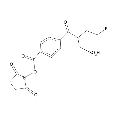 O=C(ON1C(=O)CCC1=O)c1ccc(C(=O)C(CCF)CS(=O)(=O)O)cc1